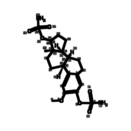 COc1cc2c(cc1OS(N)(=O)=O)CC[C@@H]1[C@@H]2CC[C@]2(C)[C@@H](OS(N)(=O)=O)CC[C@@H]12